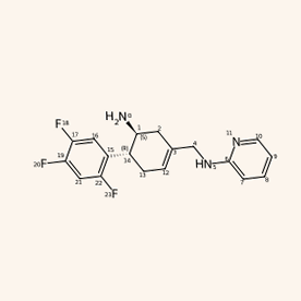 N[C@H]1CC(CNc2ccccn2)=CC[C@@H]1c1cc(F)c(F)cc1F